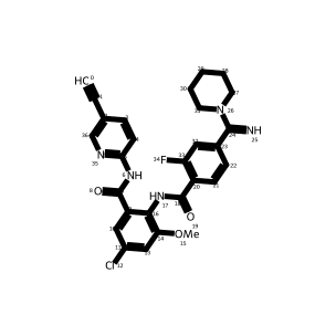 C#Cc1ccc(NC(=O)c2cc(Cl)cc(OC)c2NC(=O)c2ccc(C(=N)N3CCCCC3)cc2F)nc1